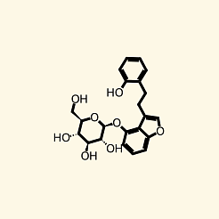 OC[C@H]1O[C@@H](Oc2cccc3occ(CCc4ccccc4O)c23)[C@H](O)[C@@H](O)[C@@H]1O